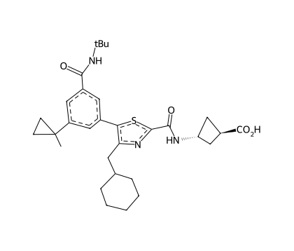 CC(C)(C)NC(=O)c1cc(-c2sc(C(=O)N[C@H]3C[C@H](C(=O)O)C3)nc2CC2CCCCC2)cc(C2(C)CC2)c1